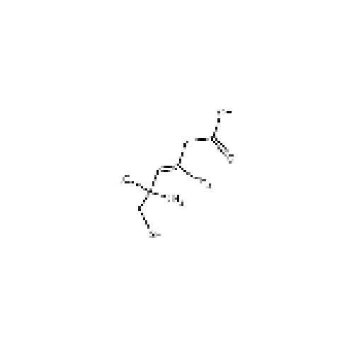 C/C(=C\C(C)(C)CS)CC(=O)O